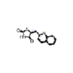 O=C1NC(=O)/C(=C\c2ccc3ccccc3n2)S1